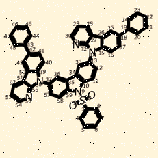 O=S(=O)(c1ccccc1)n1c2ccc(-n3c4ccc(-c5ccccc5)cc4c4cccnc43)cc2c2cc(-n3c4ccc(-c5ccccc5)cc4c4cccnc43)ccc21